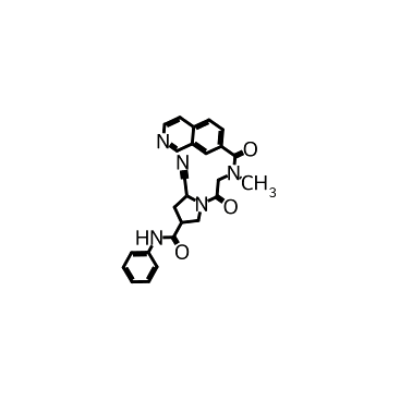 CN(CC(=O)N1CC(C(=O)Nc2ccccc2)CC1C#N)C(=O)c1ccc2ccncc2c1